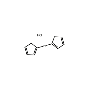 C1=CC[C]([Pt][C]2=CC=CC2)=C1.Cl